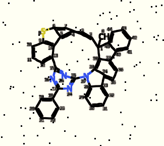 CC12c3ccc4c(c3)sc3cccc(c34)-c3nc(-c4ccccc4)nc(n3)-n3c4ccccc4c4ccc(c1c43)-c1ccccc12